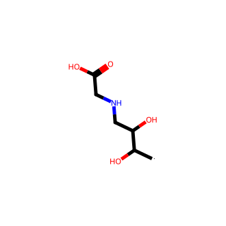 [CH2]C(O)C(O)CNCC(=O)O